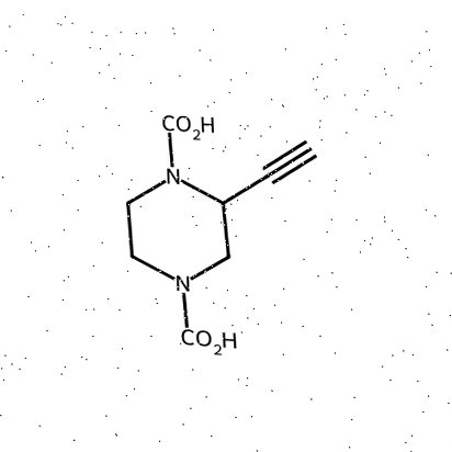 C#CC1CN(C(=O)O)CCN1C(=O)O